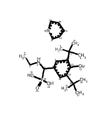 CCNC(c1cc(C(C)(C)C)c(O)c(C(C)(C)C)c1)P(=O)(O)O.c1ccncc1